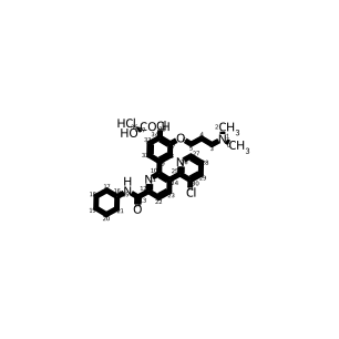 CN(C)CCCOc1cc(-c2nc(C(=O)NC3CCCCC3)ccc2-c2ncccc2Cl)ccc1Cl.Cl.O=C(O)O